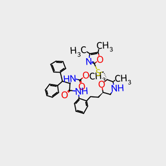 COC(=O)N[C@H](C(=O)Nc1ccccc1CC[C@@H]1CN[C@H](C)[C@@H](CSc2nc(C)c(C)o2)O1)C(c1ccccc1)c1ccccc1